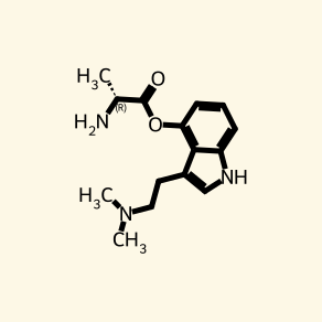 C[C@@H](N)C(=O)Oc1cccc2[nH]cc(CCN(C)C)c12